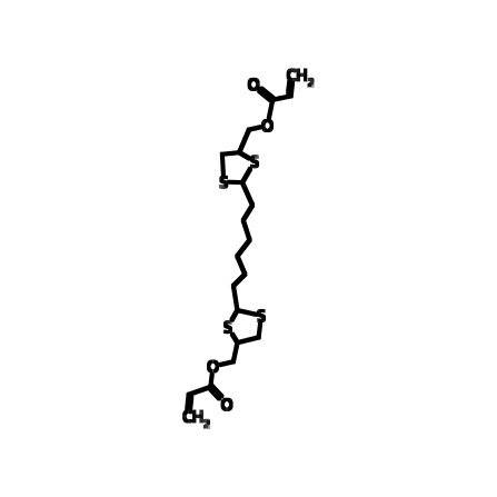 C=CC(=O)OCC1CSC(CCCCCCC2SCC(COC(=O)C=C)S2)S1